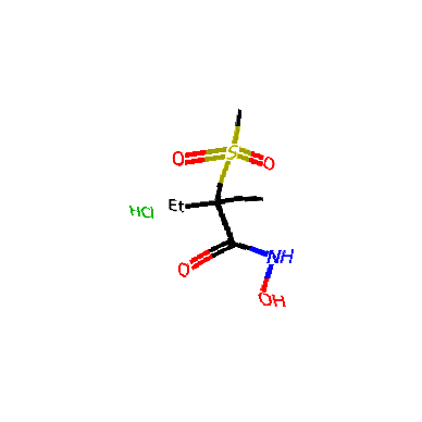 CCC(C)(C(=O)NO)S(C)(=O)=O.Cl